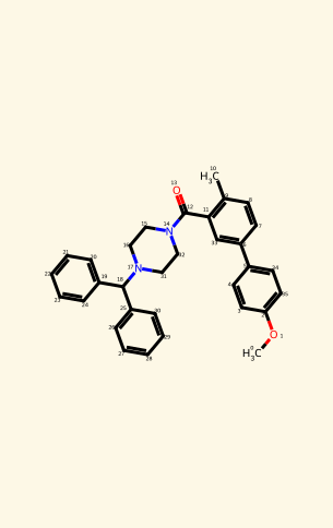 COc1ccc(-c2ccc(C)c(C(=O)N3CCN(C(c4ccccc4)c4ccccc4)CC3)c2)cc1